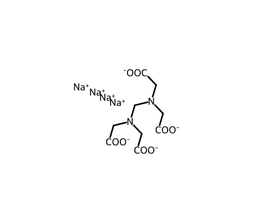 O=C([O-])CN(CC(=O)[O-])CN(CC(=O)[O-])CC(=O)[O-].[Na+].[Na+].[Na+].[Na+]